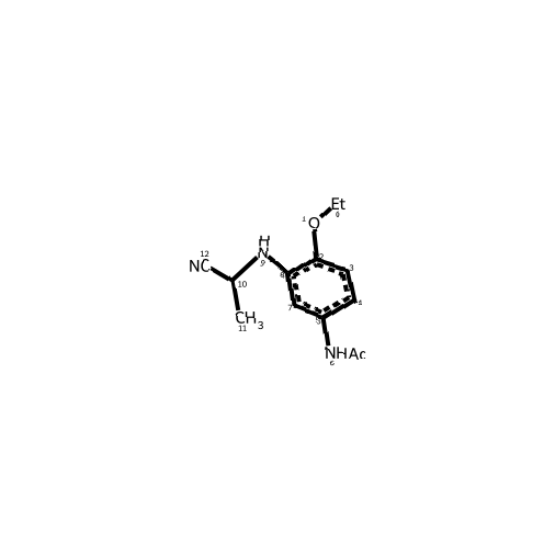 CCOc1ccc(NC(C)=O)cc1NC(C)C#N